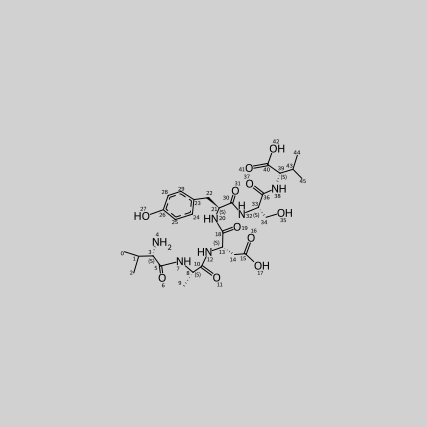 CC(C)[C@H](N)C(=O)N[C@@H](C)C(=O)N[C@@H](CC(=O)O)C(=O)N[C@@H](Cc1ccc(O)cc1)C(=O)N[C@@H](CO)C(=O)N[C@H](C(=O)O)C(C)C